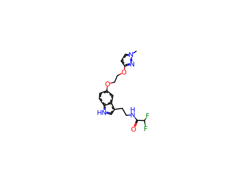 Cn1ccc(OCCOc2ccc3[nH]cc(CCNC(=O)C(F)F)c3c2)n1